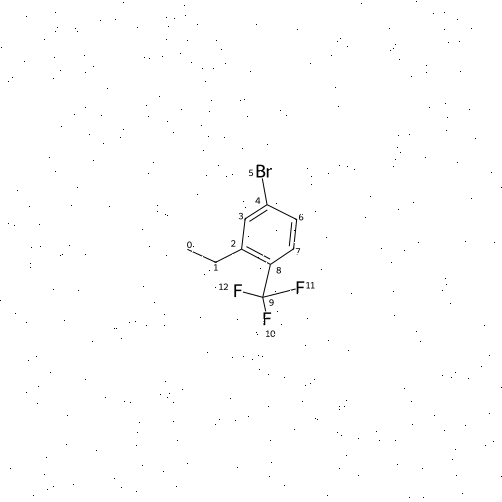 CCc1cc(Br)ccc1C(F)(F)F